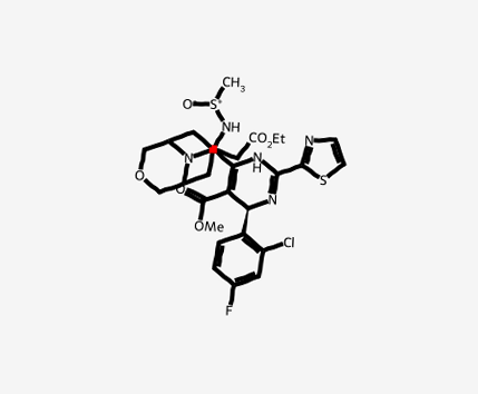 CCOC(=O)CC1(N[S+](C)[O-])CC2COCC(C1)N2CC1=C(C(=O)OC)[C@H](c2ccc(F)cc2Cl)N=C(c2nccs2)N1